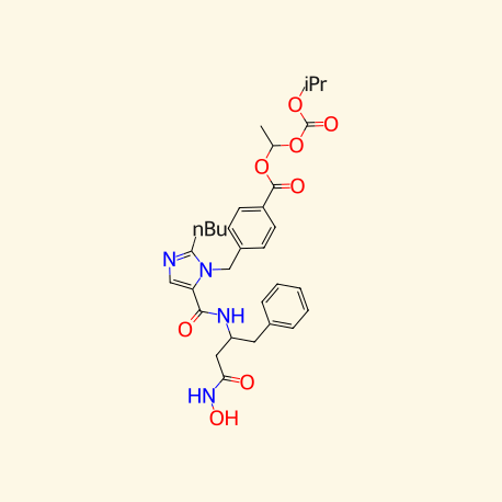 CCCCc1ncc(C(=O)NC(CC(=O)NO)Cc2ccccc2)n1Cc1ccc(C(=O)OC(C)OC(=O)OC(C)C)cc1